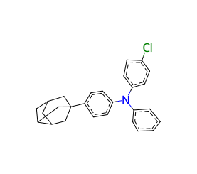 Clc1ccc(N(c2ccccc2)c2ccc(C34CC5CC(C3)C(C5)C4)cc2)cc1